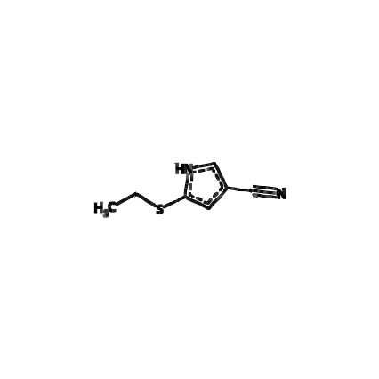 CCSc1cc(C#N)c[nH]1